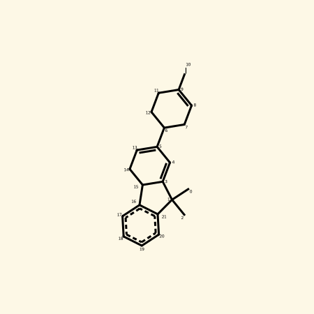 CC1(C)C2=CC(C3CC=C(I)CC3)=CCC2c2ccccc21